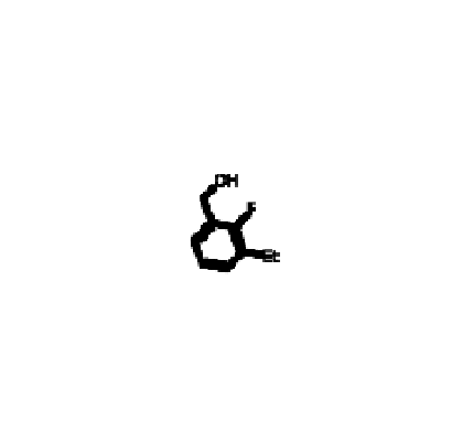 CCc1cccc(CO)c1F